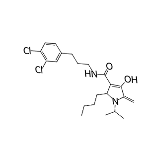 C=C1C(O)=C(C(=O)NCCCc2ccc(Cl)c(Cl)c2)C(CCCC)N1C(C)C